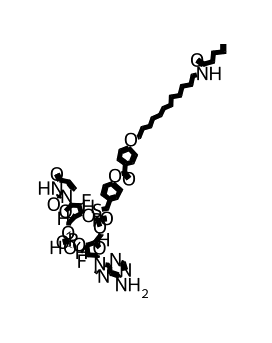 C=CCCC(=O)NCCCCCCCCCCCCOc1ccc(C(=O)Oc2ccc(CSP3(=O)OC[C@H]4O[C@@H](n5cnc6c(N)ncnc65)[C@H](F)[C@@H]4OP(=O)(O)OC[C@H]4O[C@@H](n5ccc(=O)[nH]c5=O)[C@H](F)[C@@H]4O3)cc2)cc1